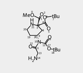 COC(=O)[C@@]1(C(=O)OC(C)(C)C)C[C@H](N(C(=O)CN)C(=O)OC(C)(C)C)CCN1